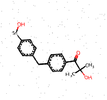 CC(C)(O)C(=O)c1ccc(Cc2cc[c]([Sn][OH])cc2)cc1